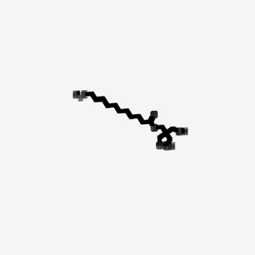 CCC=CCCCCCCCC(=O)OCC(CO)(CO)CO